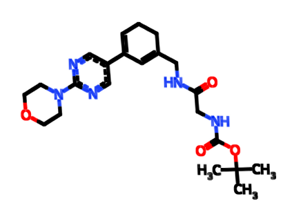 CC(C)(C)OC(=O)NCC(=O)NCC1=CC(c2cnc(N3CCOCC3)nc2)=CCC1